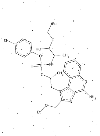 CCOCc1nc2c(N)nc3ccccc3c2n1C[C@@H](C)OP(=O)(N[C@@H](C)C(O)OCC(C)(C)C)Oc1ccc(Cl)cc1